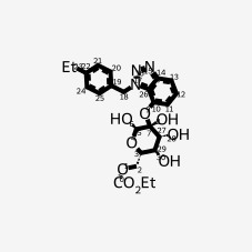 CCOC(=O)OC[C@@H]1O[C@@H](O)[C@](O)(Oc2cccc3nnn(Cc4ccc(CC)cc4)c23)[C@H](O)[C@H]1O